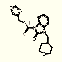 O=C(NCc1cocn1)n1c(=O)n(CC2CCOCC2)c2ccccc21